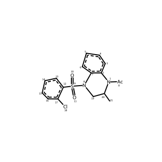 CC(=O)N1c2ccccc2N(S(=O)(=O)c2ccccc2Cl)CC1C